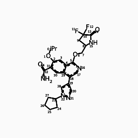 CC(C)Oc1cc2c(OCC3CC(F)(F)C(=O)N3)ncc(-c3cnn(C4CCCC4)c3)c2cc1C(N)=O